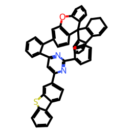 C1=CC2=C(CC1)C1(c3ccccc3Oc3cc(-c4ccccc4-c4cc(-c5ccc6c(c5)sc5ccccc56)nc(-c5ccccc5)n4)ccc31)c1ccccc12